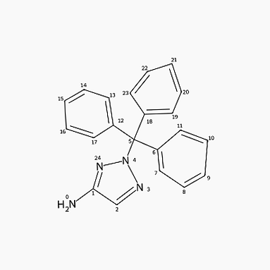 Nc1cnn(C(c2ccccc2)(c2ccccc2)c2ccccc2)n1